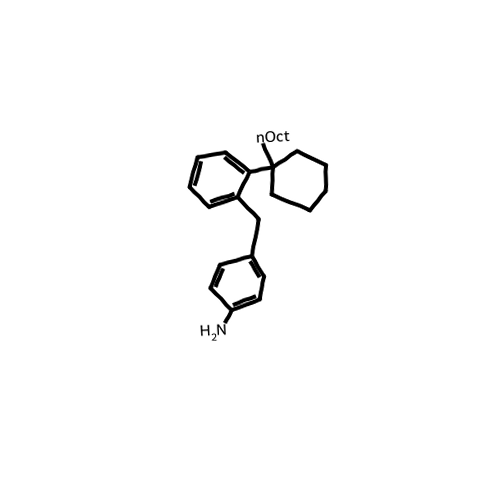 CCCCCCCCC1(c2ccccc2Cc2ccc(N)cc2)CCCCC1